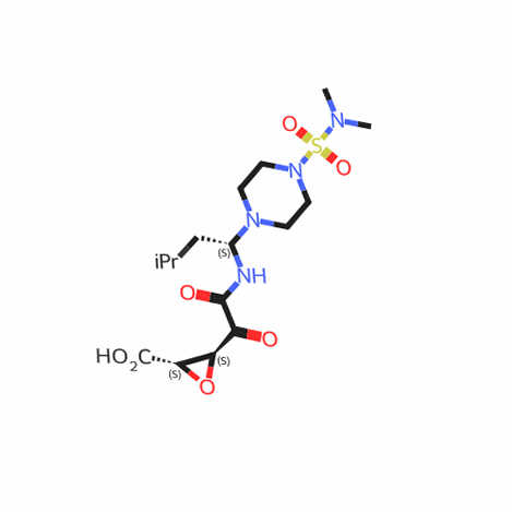 CC(C)C[C@@H](NC(=O)C(=O)[C@H]1O[C@@H]1C(=O)O)N1CCN(S(=O)(=O)N(C)C)CC1